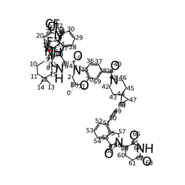 C[C@@H]1CN(C(=O)[C@@H]2N[C@]3(CCCC(C)(C)C3)[C@@]3(CNc4cc(C(F)(F)F)ncc43)[C@H]2c2cccc(Cl)c2F)c2ccc(C(=O)N3CCC4(CC3)C[C@@H]4C#Cc3cccc4c3CN([C@H]3CCC(=O)NC3=O)C4=O)cc2O1